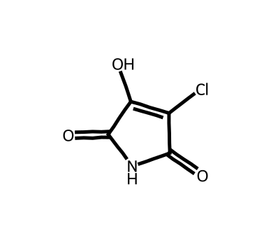 O=C1NC(=O)C(Cl)=C1O